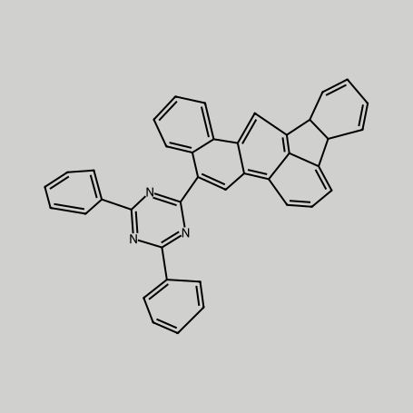 C1=CC2c3cccc4c3c(cc3c5ccccc5c(-c5nc(-c6ccccc6)nc(-c6ccccc6)n5)cc43)C2C=C1